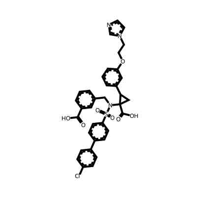 O=C(O)c1cccc(CN(C2(C(=O)O)CC2c2cccc(OCCn3ccnc3)c2)S(=O)(=O)c2ccc(-c3ccc(Cl)cc3)cc2)c1